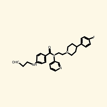 O=CCCNc1ccc(C(=O)N(CCN2CCC(c3ccc(F)cc3)CC2)c2cccnc2)cc1